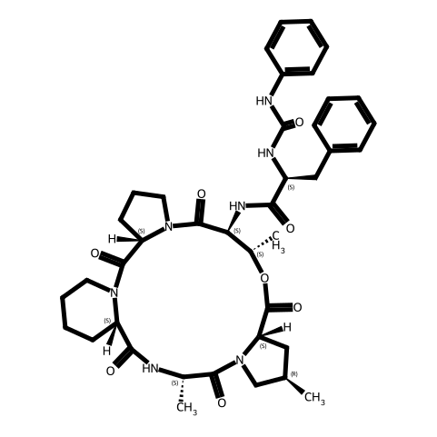 C[C@@H]1C[C@H]2C(=O)O[C@@H](C)[C@H](NC(=O)[C@H](Cc3ccccc3)NC(=O)Nc3ccccc3)C(=O)N3CCC[C@H]3C(=O)N3CCCC[C@H]3C(=O)N[C@@H](C)C(=O)N2C1